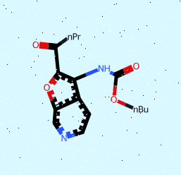 CCCCOC(=O)Nc1c(C(=O)CCC)oc2cnccc12